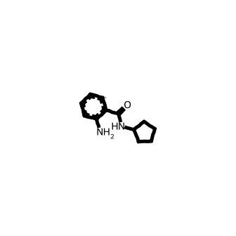 Nc1ccc[c]c1C(=O)NC1CCCC1